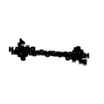 CC1N(CC2CC2)C2C[C@]34c5c2ccc(OC(=O)OCCOCCOCCOCCOCCOC(=O)Oc2ccc6c7c2O[C@H]2C(=O)CC[C@@]8(O)C(C6)N(CC6CC6)CC[C@]728)c5O[C@H]3C(=O)CC[C@@]14O